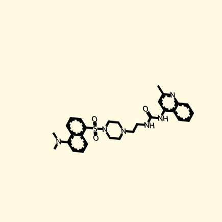 Cc1cc(NC(=O)NCCN2CCN(S(=O)(=O)c3cccc4c(N(C)C)cccc34)CC2)c2ccccc2n1